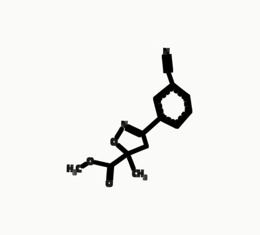 COC(=O)C1(C)CC(c2cccc(C#N)c2)=NO1